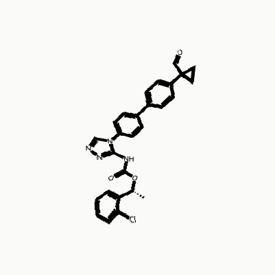 C[C@@H](OC(=O)Nc1nncn1-c1ccc(-c2ccc(C3(C=O)CC3)cc2)cc1)c1ccccc1Cl